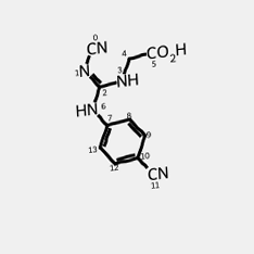 N#CN=C(NCC(=O)O)Nc1ccc(C#N)cc1